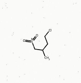 CC(CCCl)C[SH](=O)=O